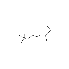 CCC(C)CCCCC(C)(C)C